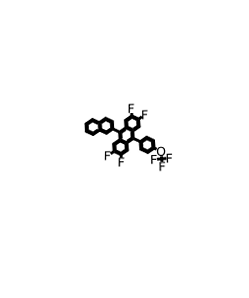 Fc1cc2c(-c3ccc(OC(F)(F)F)cc3)c3cc(F)c(F)cc3c(-c3ccc4ccccc4c3)c2cc1F